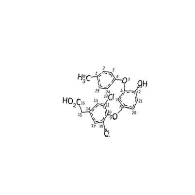 Cc1ccc(Oc2cc(Oc3c(Cl)cc(CC(=O)O)cc3Cl)ccc2O)cc1